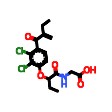 C=C(CC)C(=O)c1ccc(OC(CC)C(=O)NCC(=O)O)c(Cl)c1Cl